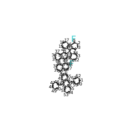 Fc1ccc2c(c1)C1(c3cc(F)ccc3-2)c2ccccc2-c2c1cc1c3ccc4c5c(ccc(c6cccc2c61)c53)-c1cc2c(-c3ccccc3)c3ccccc3c(-c3ccccc3)c2cc1-4